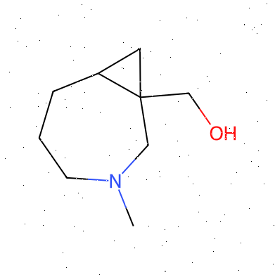 CN1CCCC2CC2(CO)C1